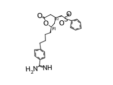 N=C(N)c1ccc(CCCC[C@@H]2C[C@H](CS(=O)(=O)c3ccccc3)CC(=O)O2)cc1